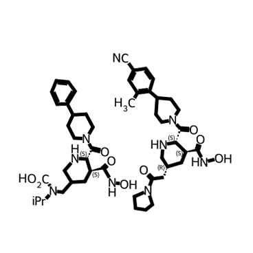 CC(C)N(CC1CN[C@H](C(=O)N2CCC(c3ccccc3)CC2)[C@@H](C(=O)NO)C1)C(=O)O.Cc1cc(C#N)ccc1C1CCN(C(=O)[C@H]2NC[C@@H](CC(=O)N3CCCC3)C[C@@H]2C(=O)NO)CC1